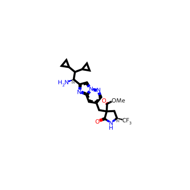 COC(=O)C1(Cc2cnn3cc([C@@H](N)C(C4CC4)C4CC4)nc3c2)C[C@@H](C(F)(F)F)NC1=O